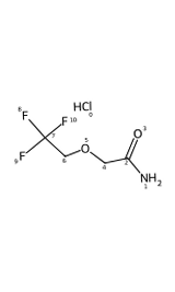 Cl.NC(=O)COCC(F)(F)F